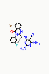 CC(Nc1nc(N)nc(N)c1C#N)c1nc2cccc(Br)c2c(=O)n1-c1cccc(F)c1